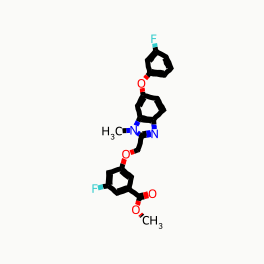 COC(=O)c1cc(F)cc(OCc2nc3ccc(Oc4cccc(F)c4)cc3n2C)c1